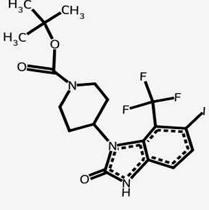 CC(C)(C)OC(=O)N1CCC(n2c(=O)[nH]c3ccc(I)c(C(F)(F)F)c32)CC1